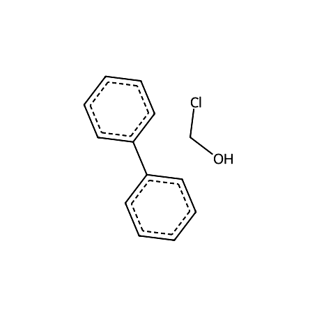 OCCl.c1ccc(-c2ccccc2)cc1